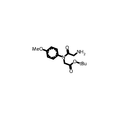 COc1ccc(N(CC(=O)OC(C)(C)C)C(=O)CN)cc1